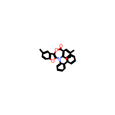 Cc1ccc2c(c1)C(=O)Oc1c(oc3ccc(C)cc13)N2c1ccccc1-c1ccccc1